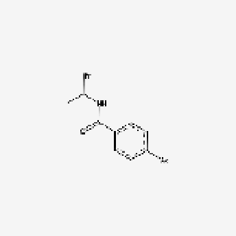 CC(=O)c1ccc(C(=O)NC(C)C(C)C)cc1